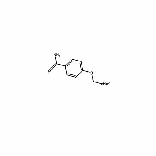 CCCCCCCOc1ccc(C(N)=O)cc1